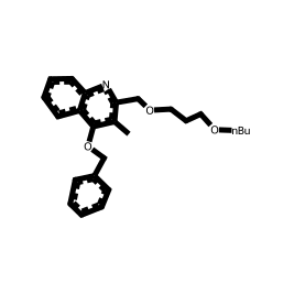 CCCCOCCCOCc1nc2ccccc2c(OCc2ccccc2)c1C